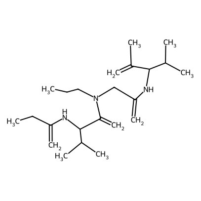 C=C(CN(CCC)C(=C)C(NC(=C)CC)C(C)C)NC(C(=C)C)C(C)C